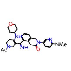 CNc1ccc(N2Cc3cccc(C(=N)C4=C(NC5CCOCC5)CCN(C(C)=O)C4)c3CC2=O)cn1